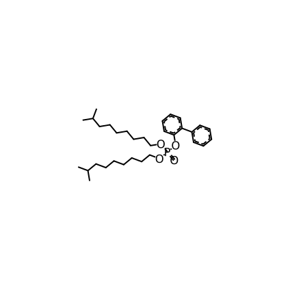 CC(C)CCCCCCCOP(=O)(OCCCCCCCC(C)C)Oc1ccccc1-c1ccccc1